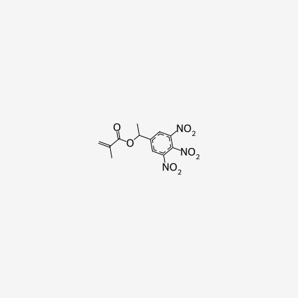 C=C(C)C(=O)OC(C)c1cc([N+](=O)[O-])c([N+](=O)[O-])c([N+](=O)[O-])c1